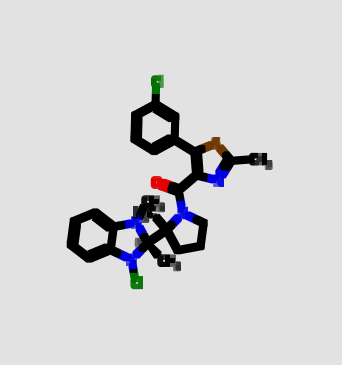 Cc1nc(C(=O)N2CCCC2(C)[C@@]2(C)N(C)c3ccccc3N2Cl)c(-c2cccc(Cl)c2)s1